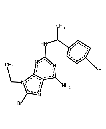 CCn1c(Br)nc2c(N)nc(NC(C)c3ccc(F)cc3)nc21